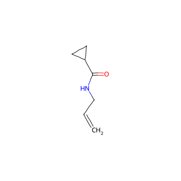 C=CCNC(=O)C1CC1